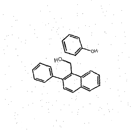 OCc1c(-c2ccccc2)ccc2ccccc12.Oc1ccccc1